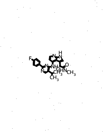 CNC(=O)C(=O)c1c[nH]c2nccc(Nc3nc(-c4ccc(F)cc4)ncc3C(C)C)c12